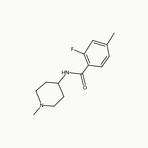 Cc1ccc(C(=O)NC2CCN(C)CC2)c(F)c1